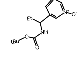 CCC(NC(=O)OC(C)(C)C)c1ccc[n+]([O-])c1